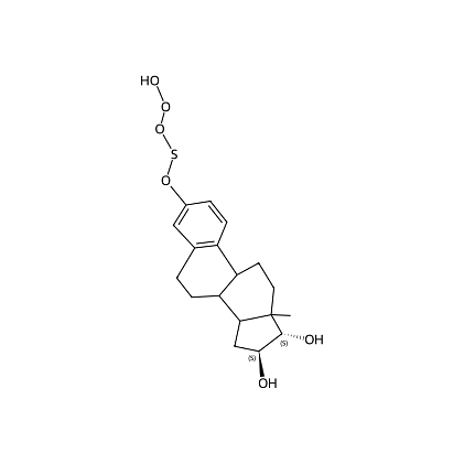 CC12CCC3c4ccc(OSOOO)cc4CCC3C1C[C@H](O)[C@H]2O